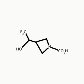 O=C(O)N1CC(C(O)C(F)(F)F)C1